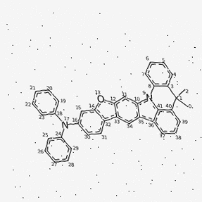 CC1(C)c2ccccc2-n2c3cc4oc5cc(N(c6ccccc6)c6ccccc6)ccc5c4cc3c3cccc1c32